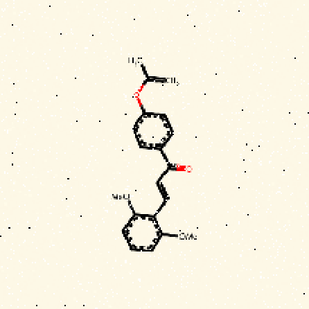 C=C(C)Oc1ccc(C(=O)/C=C/c2c(OC)cccc2OC)cc1